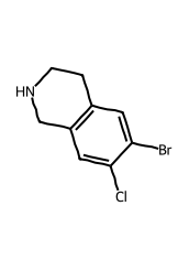 Clc1cc2c(cc1Br)CCNC2